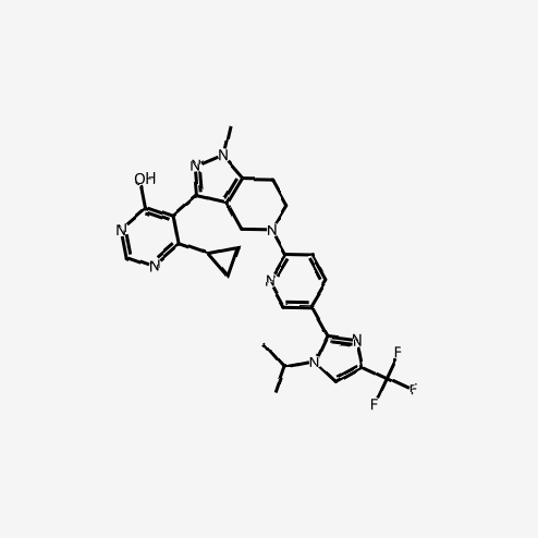 CC(C)n1cc(C(F)(F)F)nc1-c1ccc(N2CCc3c(c(-c4c(O)ncnc4C4CC4)nn3C)C2)nc1